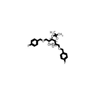 CC1(C)O[C@H]([C@H](O)COCc2ccc(F)cc2)[C@@H]([C@H](O)COCc2ccc(F)cc2)O1